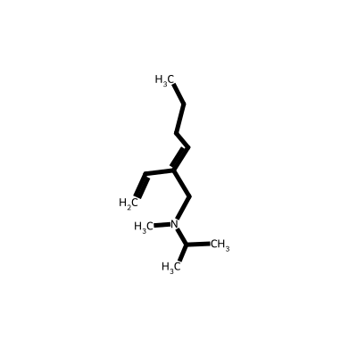 C=C/C(=C\CCC)CN(C)C(C)C